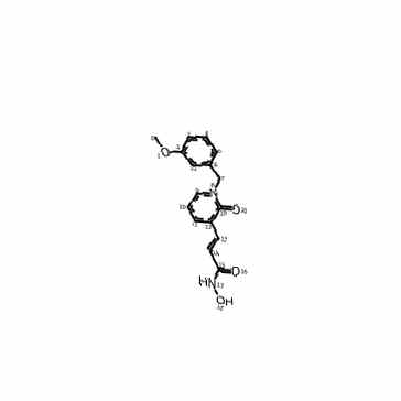 COc1cccc(Cn2cccc(/C=C/C(=O)NO)c2=O)c1